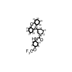 O=C(Nc1ccc(OC(F)(F)F)cc1)N1CCCC(N2c3ccccc3Oc3ccccc32)C1